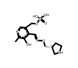 Cc1ncc(COP(=O)(O)O)c(/C=N/OC[C@@H]2CCNC2)c1O